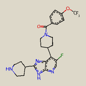 O=C(c1ccc(OC(F)(F)F)cc1)N1CCC(c2c(F)cnc3[nH]c(C4CCNCC4)nc23)CC1